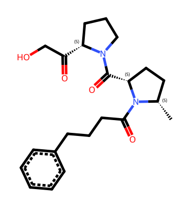 C[C@H]1CC[C@@H](C(=O)N2CCC[C@H]2C(=O)CO)N1C(=O)CCCc1ccccc1